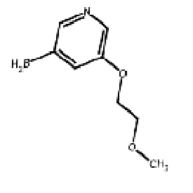 Bc1cncc(OCCOC)c1